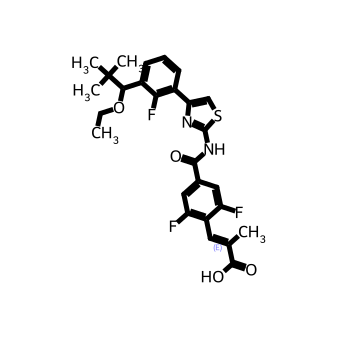 CCOC(c1cccc(-c2csc(NC(=O)c3cc(F)c(/C=C(\C)C(=O)O)c(F)c3)n2)c1F)C(C)(C)C